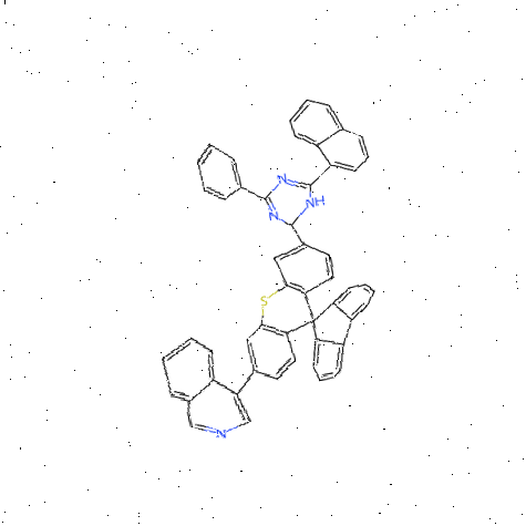 c1ccc(C2=NC(c3ccc4c(c3)Sc3cc(-c5cncc6ccccc56)ccc3C43c4ccccc4-c4ccccc43)NC(c3cccc4ccccc34)=N2)cc1